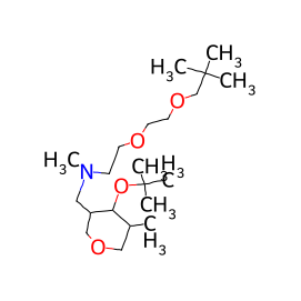 CC1COCC(CN(C)CCOCCOCC(C)(C)C)C1OC(C)(C)C